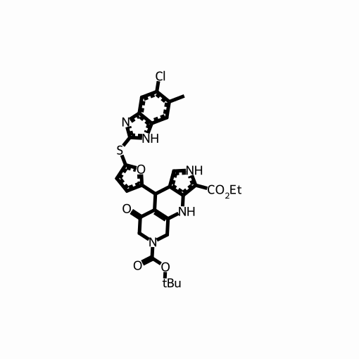 CCOC(=O)c1[nH]cc2c1NC1=C(C(=O)CN(C(=O)OC(C)(C)C)C1)C2c1ccc(Sc2nc3cc(Cl)c(C)cc3[nH]2)o1